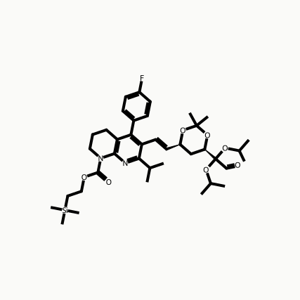 CC(C)OC(C=O)(OC(C)C)[C@H]1C[C@@H](/C=C/c2c(C(C)C)nc3c(c2-c2ccc(F)cc2)CCCN3C(=O)OCC[Si](C)(C)C)OC(C)(C)O1